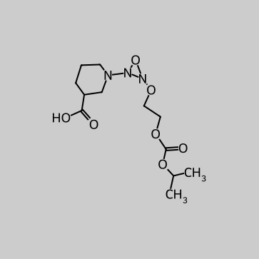 CC(C)OC(=O)OCCOn1on1N1CCCC(C(=O)O)C1